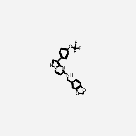 FC(F)(F)Oc1ccc(-c2cnn3ccc(NCc4ccc5c(c4)OCO5)nc23)cc1